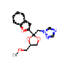 CCOCC1COC(Cn2cncn2)(c2cc3ccccc3o2)O1